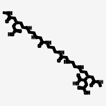 CNC(=O)CN(CCNCCNCC(=O)NCCCNC(=O)CNCCNCCN(CC(=O)NC)C(CC(=O)O)C(=O)O)CC(=O)O